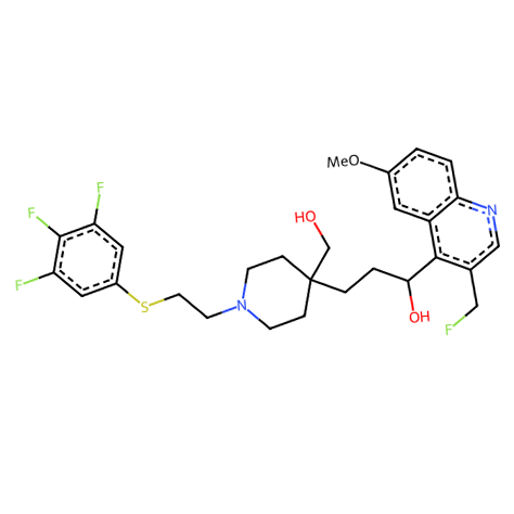 COc1ccc2ncc(CF)c(C(O)CCC3(CO)CCN(CCSc4cc(F)c(F)c(F)c4)CC3)c2c1